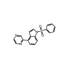 O=S(=O)(c1ccccc1)n1ccc2c(-c3cnccn3)cccc21